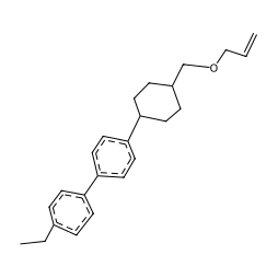 C=CCOCC1CCC(c2ccc(-c3ccc(CC)cc3)cc2)CC1